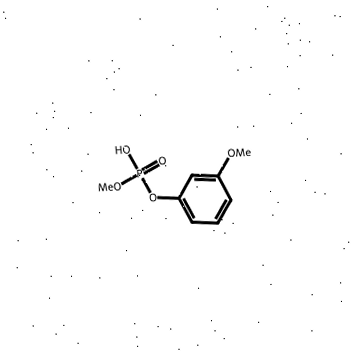 COc1cccc(OP(=O)(O)OC)c1